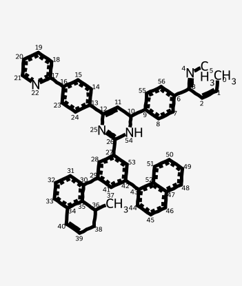 C/C=C\C(=N/C)c1ccc(C2C=C(c3ccc(-c4ccccn4)cc3)N=C(c3cc(-c4cccc5c4C(C)CC=C5)cc(-c4cccc5ccccc45)c3)N2)cc1